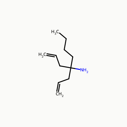 C=CCC(N)(CC=C)CCCC